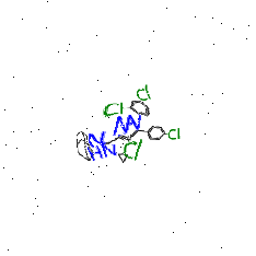 Clc1ccc(-c2c(Cl)c(C(=NC34CC5CC(CC(C5)C3)C4)NC3CC3)nn2-c2ccc(Cl)cc2Cl)cc1